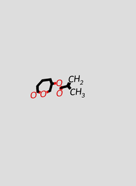 C=C(C)C(=O)OC1CCCC(=O)OC1